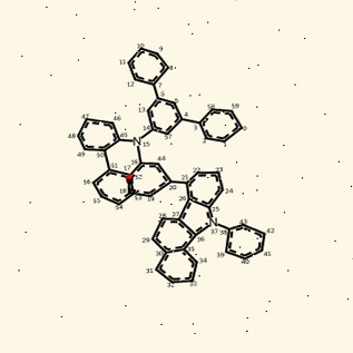 c1ccc(-c2cc(-c3ccccc3)cc(N(c3cccc(-c4cccc5c4c4ccc6ccccc6c4n5-c4ccccc4)c3)c3ccccc3-c3ccccc3)c2)cc1